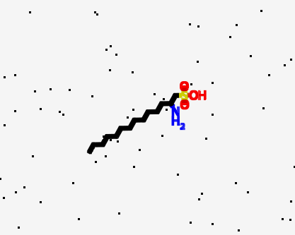 CCCCCCCCCCCCC(N)CS(=O)(=O)O